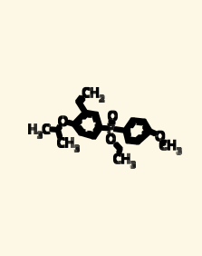 C=Cc1cc(P(=O)(OCC)c2ccc(OC)cc2)ccc1OC(C)C